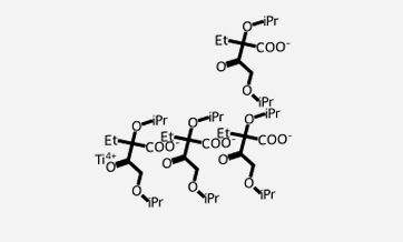 CCC(OC(C)C)(C(=O)[O-])C(=O)COC(C)C.CCC(OC(C)C)(C(=O)[O-])C(=O)COC(C)C.CCC(OC(C)C)(C(=O)[O-])C(=O)COC(C)C.CCC(OC(C)C)(C(=O)[O-])C(=O)COC(C)C.[Ti+4]